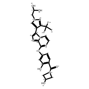 O=C(c1ccc(Oc2nccn3c(-c4cn(CC(O)O)nc4C(F)(F)F)cnc23)cc1O)N1CC(O)C1